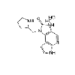 Cl.Cl.O=c1[nH]c2cnc3[nH]ccc3c2n1CC1CCCN1